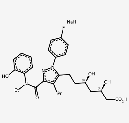 CCN(C(=O)c1nn(-c2ccc(F)cc2)c(CC[C@@H](O)C[C@@H](O)CC(=O)O)c1C(C)C)c1ccccc1O.[NaH]